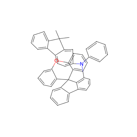 CC1(C)c2ccccc2-c2ccc(N(c3ccccc3)c3cccc4c3C3(c5ccccc5Oc5ccccc53)c3ccccc3-4)cc21